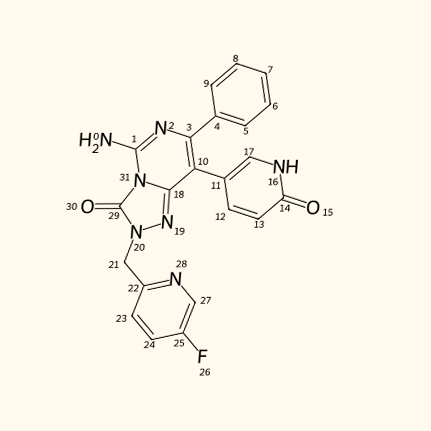 Nc1nc(-c2ccccc2)c(-c2ccc(=O)[nH]c2)c2nn(Cc3ccc(F)cn3)c(=O)n12